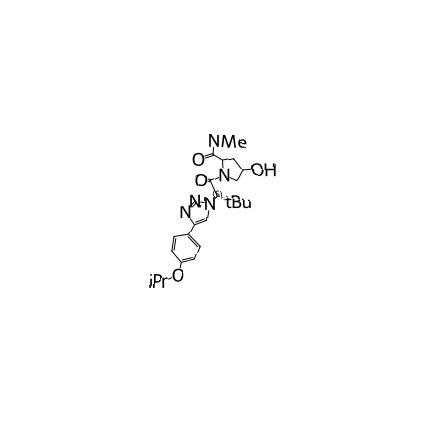 CNC(=O)C1CC(O)CN1C(=O)[C@@H](n1cc(-c2ccc(OC(C)C)cc2)nn1)C(C)(C)C